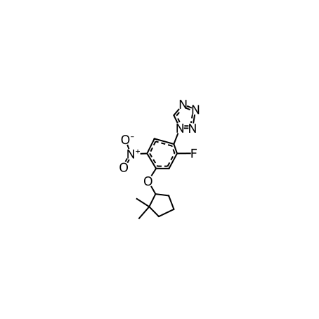 CC1(C)CCCC1Oc1cc(F)c(-n2cnnn2)cc1[N+](=O)[O-]